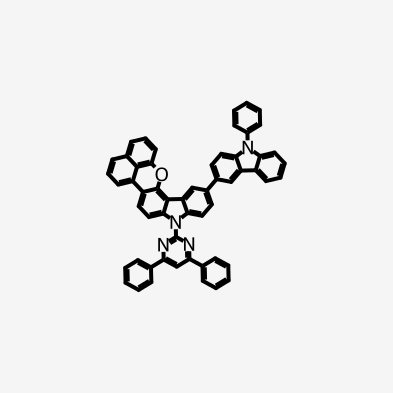 c1ccc(-c2cc(-c3ccccc3)nc(-n3c4ccc(-c5ccc6c(c5)c5ccccc5n6-c5ccccc5)cc4c4c5c(ccc43)-c3cccc4cccc(c34)O5)n2)cc1